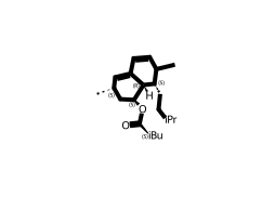 CC[C@H](C)C(=O)O[C@H]1C[C@H](C)C=C2C=CC(C)[C@H](CCC(C)C)[C@H]21